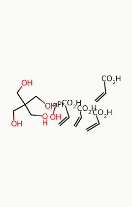 C=CC(=O)O.C=CC(=O)O.C=CC(=O)O.C=CC(=O)O.CCCO.OCC(CO)(CO)CO